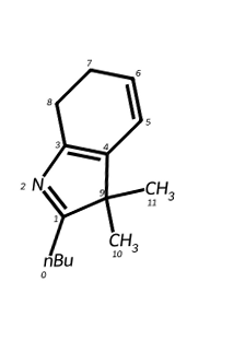 CCCCC1=NC2=C(C=CCC2)C1(C)C